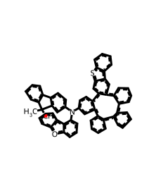 CC1(C)c2ccccc2-c2ccc(N(c3ccc4c(c3)c3ccccc3c3ccccc3c3ccccc3c3cc5c(cc43)sc3ccccc35)c3cccc4oc5ccccc5c34)cc21